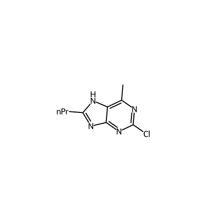 CCCc1nc2nc(Cl)nc(C)c2[nH]1